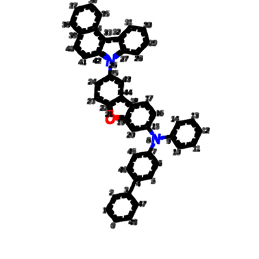 c1ccc(-c2ccc(N(c3ccccc3)c3ccc4c(c3)oc3ccc(-n5c6ccccc6c6c7ccccc7ccc65)cc34)cc2)cc1